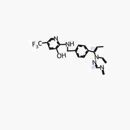 C=CN(/N=C\N=C)/C(=C\C)c1ccc(CNc2ncc(C(F)(F)F)cc2O)cc1